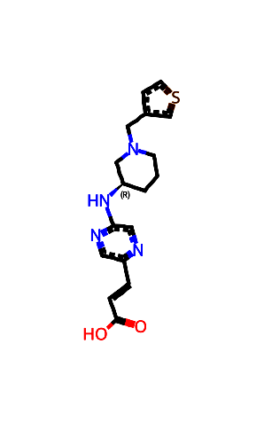 O=C(O)C=Cc1cnc(N[C@@H]2CCCN(Cc3ccsc3)C2)cn1